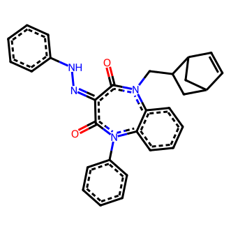 O=c1c(=NNc2ccccc2)c(=O)n(-c2ccccc2)c2ccccc2n1CC1CC2C=CC1C2